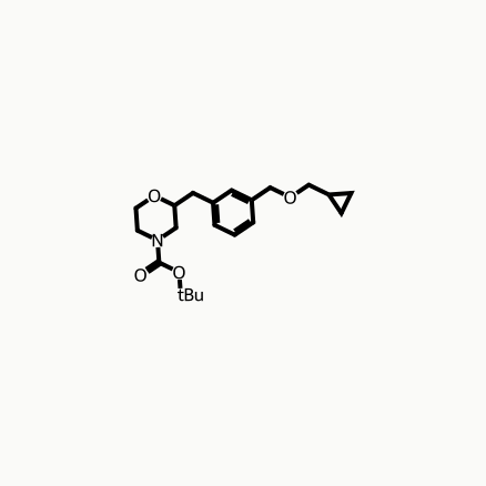 CC(C)(C)OC(=O)N1CCOC(Cc2cccc(COCC3CC3)c2)C1